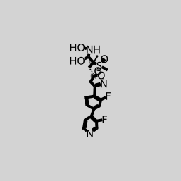 C[C@@](C[C@H]1CC(c2ccc(-c3ccncc3F)cc2F)=NO1)(C(O)NO)S(C)(=O)=O